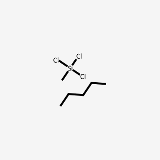 CCCCC.C[Si](Cl)(Cl)Cl